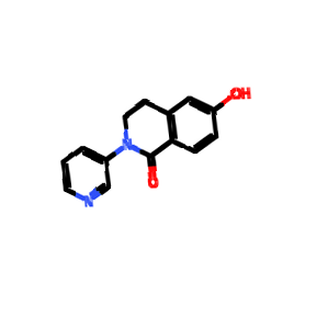 O=C1c2ccc(O)cc2CCN1c1cccnc1